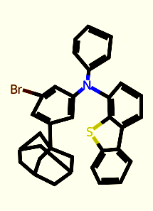 Brc1cc(N(c2ccccc2)c2cccc3c2sc2ccccc23)cc(C23CC4CC(CC(C4)C2)C3)c1